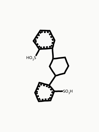 O=S(=O)(O)c1ccccc1C1CCCC(c2ccccc2S(=O)(=O)O)C1